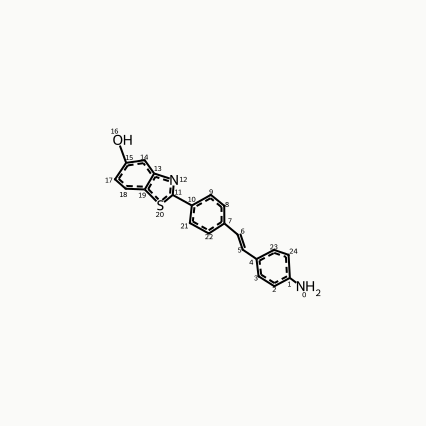 Nc1ccc(/C=C/c2ccc(-c3nc4cc(O)ccc4s3)cc2)cc1